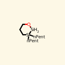 CCCCC[Si]1(CCCCC)CCCO[SiH2]1